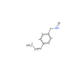 CCNCc1ccc(/C=C\C(=O)O)cc1